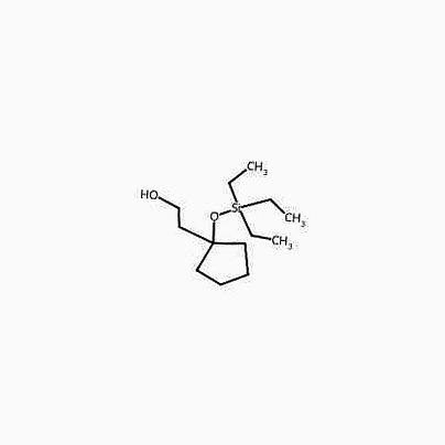 CC[Si](CC)(CC)OC1(CCO)CCCC1